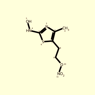 Cc1nc(NO)sc1CCO[N+](=O)[O-]